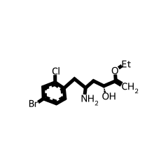 C=C(OCC)[C@H](O)CC(N)Cc1ccc(Br)cc1Cl